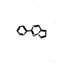 c1ccc(-c2ncc3cccn3n2)nc1